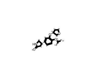 O=C1C[C@@H](c2ccc(OC(F)F)c(O[C@@H]3CCOC3)c2)CN1